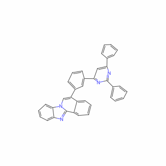 c1ccc(-c2cc(-c3cccc(-c4cn5c6ccccc6nc5c5ccccc45)c3)nc(-c3ccccc3)n2)cc1